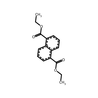 CCOC(=O)c1cccc2c(C(=O)OCC)cccc12